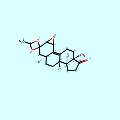 CC1OC2(C[C@@H]3CC[C@@H]4C(=C3C3OC32)CC[C@]2(C)C(=O)CC[C@@H]42)O1